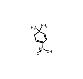 NC1(N)C=CC([PH](=O)O)=CC1